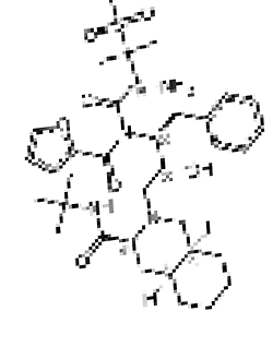 CC(C)(C)NC(=O)[C@@H]1C[C@@H]2CCCC[C@@H]2CN1C[C@@H](O)[C@H](Cc1ccccc1)N(C(=O)c1ccco1)C(=O)[C@@H](N)C(C)(C)S(C)(=O)=O